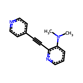 CN(C)c1cccnc1C#Cc1ccncc1